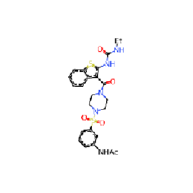 CCNC(=O)Nc1sc2ccccc2c1C(=O)N1CCN(S(=O)(=O)c2cccc(NC(C)=O)c2)CC1